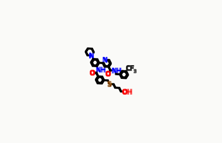 O=C(NCc1cccc(C(F)(F)F)c1)c1ccnc(-c2cc(N3CCCCC3)ccc2NC(=O)c2cccc(CSCCCCO)c2)c1